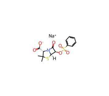 CC1(C)S[C@@H]2[C@H](OS(=O)(=O)c3ccccc3)C(=O)N2[C@H]1C(=O)[O-].[Na+]